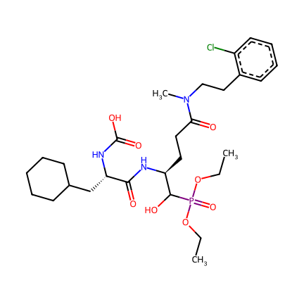 CCOP(=O)(OCC)C(O)[C@H](CCC(=O)N(C)CCc1ccccc1Cl)NC(=O)[C@H](CC1CCCCC1)NC(=O)O